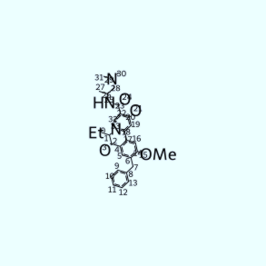 CCC1C(=O)c2cc(Cc3ccccc3)c(OC)cc2-c2cc(=O)c(C(=O)NC(C)CN(C)C)cn21